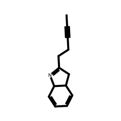 CC#CCCC1=NC2C=CC=CC2C1